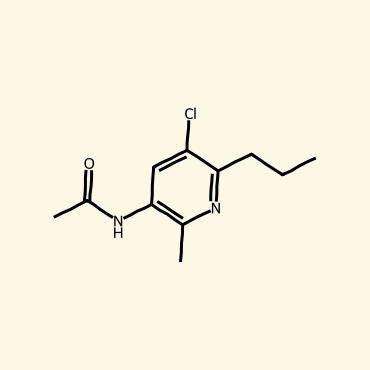 CCCc1nc(C)c(NC(C)=O)cc1Cl